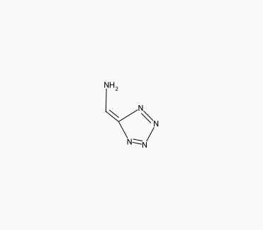 NC=C1N=NN=N1